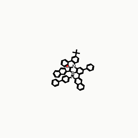 CC(C)(C)c1ccc(N2c3cc(-c4ccccc4)cc4c3B(c3c2oc2cc5ccccc5cc32)N(c2ccc(-c3ccccc3)cc2)c2cc3ccccc3cc2-4)c(-c2ccccc2)c1